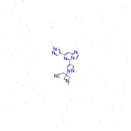 CN1CC(CC#N)(n2cc(-c3nc(-c4cnn(C)c4)cc4nccn34)cn2)C1